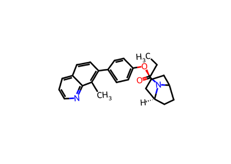 CCC(=O)N1C2CC[C@H]1C[C@@H](Oc1ccc(-c3ccc4cccnc4c3C)cc1)C2